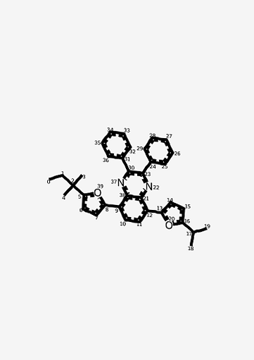 CCC(C)(C)c1ccc(-c2ccc(-c3ccc(C(C)C)o3)c3nc(-c4ccccc4)c(-c4ccccc4)nc23)o1